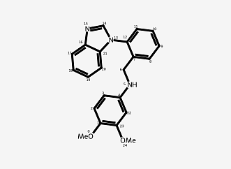 COc1ccc(NCc2ccccc2-n2cnc3ccccc32)cc1OC